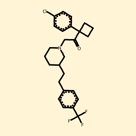 O=C(CN1CCCC(CCc2ccc(C(F)(F)F)cc2)C1)C1(c2ccc(Cl)cc2)CCC1